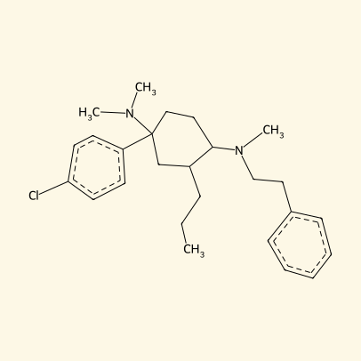 CCCC1CC(c2ccc(Cl)cc2)(N(C)C)CCC1N(C)CCc1ccccc1